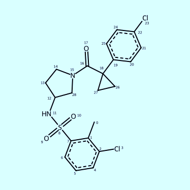 Cc1c(Cl)cccc1S(=O)(=O)NC1CCN(C(=O)C2(c3ccc(Cl)cc3)CC2)C1